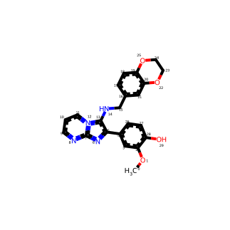 COc1cc(-c2nc3ncccn3c2NCc2ccc3c(c2)OCCO3)ccc1O